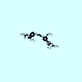 COc1cc(-c2nc(OC(C)C)cs2)ccc1OCCCOc1ccc2c(c1)c(C)cn2CC(=O)O